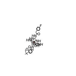 CC1(C)CCOc2c(C(=O)NC3CN4C(=N)NC(CNC(=O)Cc5ccc(F)cc5)C5NC(=N)N[C@@]54C3(O)O)cccc21